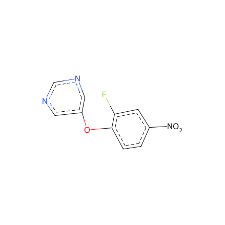 O=[N+]([O-])c1ccc(Oc2cncnc2)c(F)c1